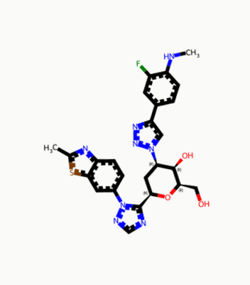 CNc1ccc(-c2cn([C@@H]3C[C@H](c4ncnn4-c4ccc5nc(C)sc5c4)O[C@H](CO)[C@@H]3O)nn2)cc1F